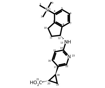 C[Si](C)(C)c1cccc2c1CC[C@H]2Nc1ccc([C@H]2C[C@@H]2C(=O)O)cn1